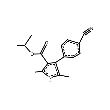 Cc1[nH]c(C)c(-c2ccc(C#N)cc2)c1C(=O)OC(C)C